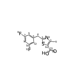 Cc1nc(Cc2cc(F)cc(F)c2)sc1C(=O)O